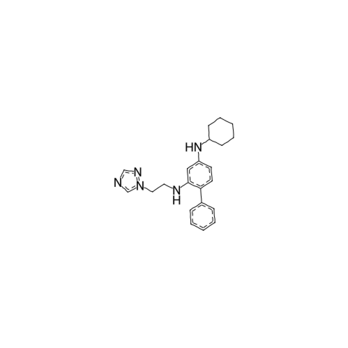 c1ccc(-c2ccc(NC3CCCCC3)cc2NCCn2cncn2)cc1